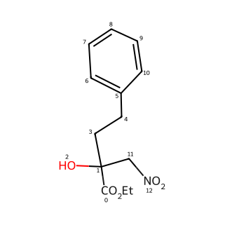 CCOC(=O)C(O)(CCc1ccccc1)C[N+](=O)[O-]